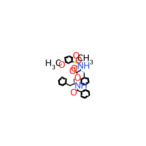 COc1ccc(OC)c(S(=O)(=O)N[C@H](Cc2ccccc2)C(=O)OC[C@H](Cc2ccccc2)NC(=O)c2ccccc2)c1